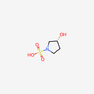 O=S(=O)(O)N1CC[C@@H](O)C1